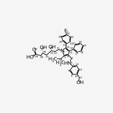 CC(C)c1c(CNc2ccc(CO)cc2)c(-c2ccccc2)c(-c2ccc(F)cc2)n1CC[C@@H](O)C[C@@H](O)CC(=O)O